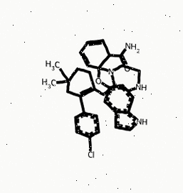 CC1(C)CCC(CC2CNCCN2C2(Oc3ccc4[nH]ccc4c3)C=CC=CC2C(N)=O)=C(c2ccc(Cl)cc2)C1